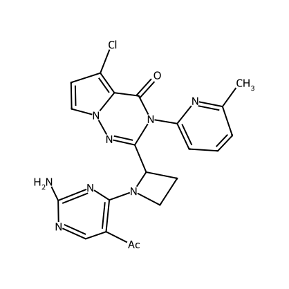 CC(=O)c1cnc(N)nc1N1CCC1c1nn2ccc(Cl)c2c(=O)n1-c1cccc(C)n1